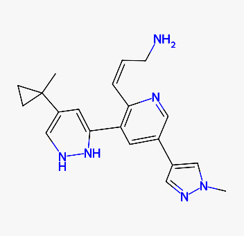 Cn1cc(-c2cnc(/C=C\CN)c(C3=CC(C4(C)CC4)=CNN3)c2)cn1